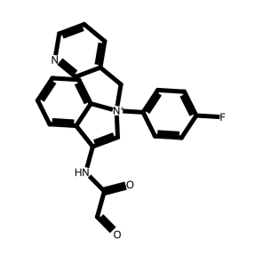 O=CC(=O)NC1=C[N+](Cc2cccnc2)(c2ccc(F)cc2)c2ccccc21